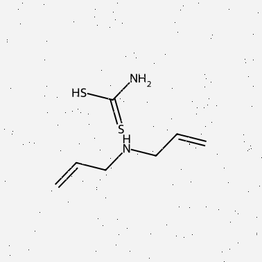 C=CCNCC=C.NC(=S)S